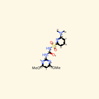 COc1cc(OC)nc(NC(=O)NS(=O)(=O)c2cccc(N(C)C)n2)n1